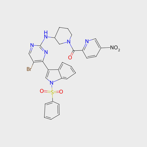 O=C(c1ccc([N+](=O)[O-])cn1)N1CCCC(Nc2ncc(Br)c(-c3cn(S(=O)(=O)c4ccccc4)c4ccccc34)n2)C1